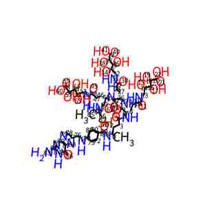 C[C@H](CCC(=O)N[C@@H](CCC(=O)NC[C@H](O)[C@@H](O)[C@H](O)C(=O)O)C(=O)N[C@@H](CCC(=O)NC[C@H](O)[C@@H](O)[C@H](O)C(=O)O)C(=O)N[C@@H](CCC(=O)NC[C@H](O)[C@@H](O)[C@H](O)C(=O)O)C(=O)N[C@H](C)CS)NC(=O)c1ccc(NCc2cnc3nc(N)[nH]c(=O)c3n2)cc1